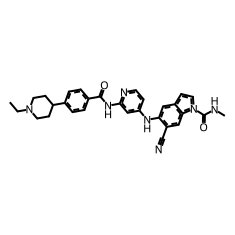 CCN1CCC(c2ccc(C(=O)Nc3cc(Nc4cc5ccn(C(=O)NC)c5cc4C#N)ccn3)cc2)CC1